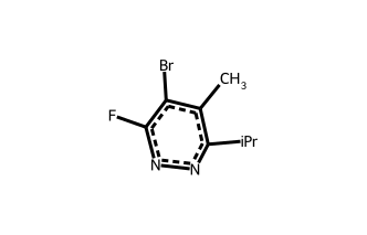 Cc1c(C(C)C)nnc(F)c1Br